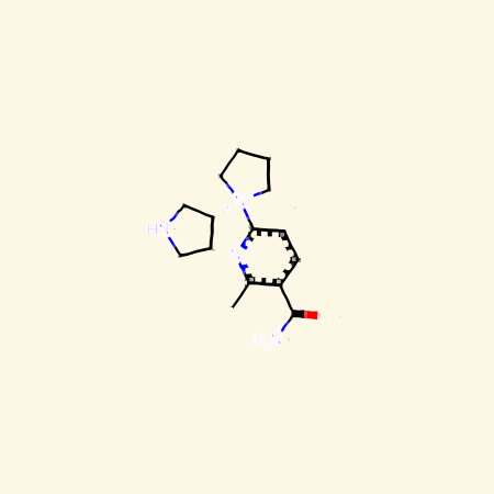 Cc1nc([N+]2([C@@H]3CCNC3)CCC[C@@H]2C)ccc1C(N)=O